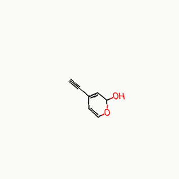 C#CC1=CC(O)OC=C1